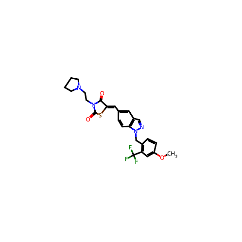 COc1ccc(Cn2ncc3cc(/C=C4\SC(=O)N(CCN5CCCC5)C4=O)ccc32)c(C(F)(F)F)c1